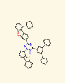 c1ccc(-c2cc(-c3ccccc3)cc(C3N=C(c4ccc5c(c4)oc4cccc(-c6ccccc6)c45)N=C(c4cccc5c4sc4ccccc45)N3)c2)cc1